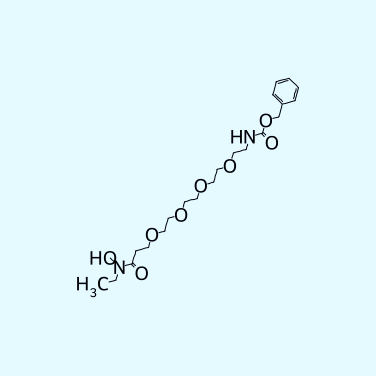 CCN(O)C(=O)CCOCCOCCOCCOCCNC(=O)OCc1ccccc1